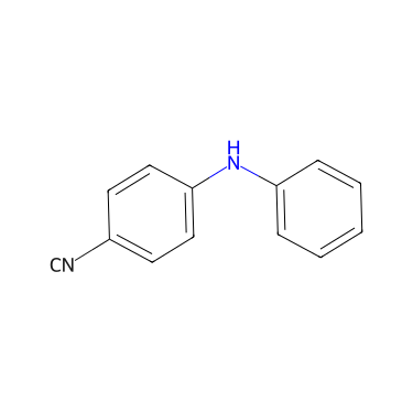 [C-]#[N+]c1ccc(Nc2ccccc2)cc1